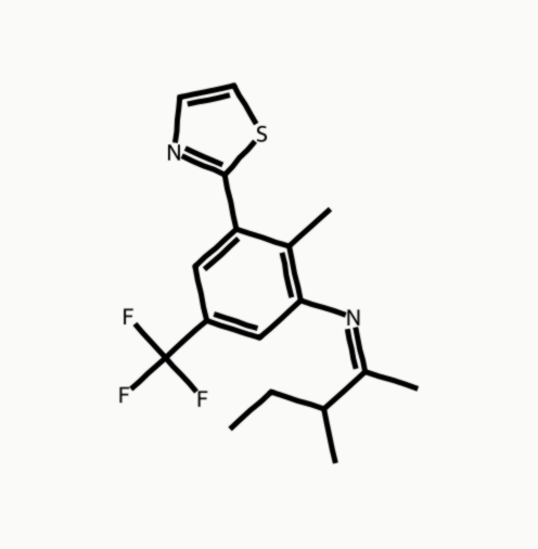 CCC(C)/C(C)=N\c1cc(C(F)(F)F)cc(-c2nccs2)c1C